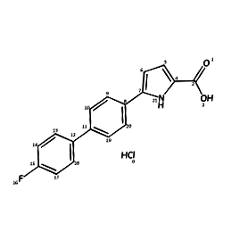 Cl.O=C(O)c1ccc(-c2ccc(-c3ccc(F)cc3)cc2)[nH]1